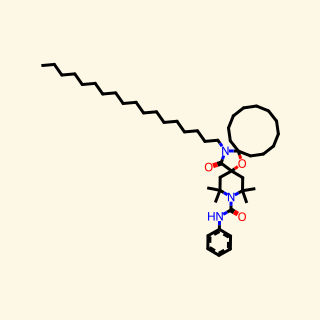 CCCCCCCCCCCCCCCCCCN1C(=O)C2(CC(C)(C)N(C(=O)Nc3ccccc3)C(C)(C)C2)OC12CCCCCCCCCCC2